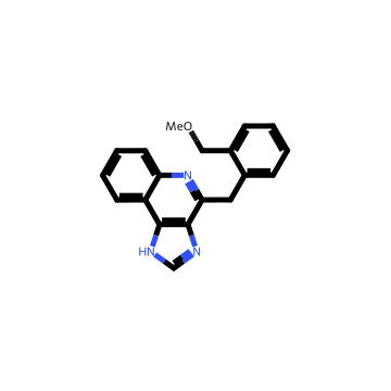 COCc1ccccc1Cc1nc2ccccc2c2[nH]cnc12